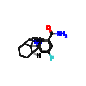 COC1(c2cc(F)cc(C(N)=O)c2)C2CCC[C@@H]1CNC2